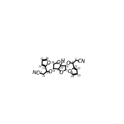 N#CCC(O[C@H]1COC2[C@H](OC(CC#N)c3ccco3)CO[C@@H]21)c1ccco1